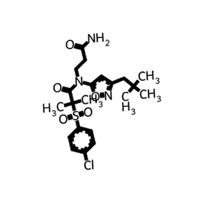 CC(C)(C)Cc1cc(N(CCC(N)=O)C(=O)C(C)(C)S(=O)(=O)c2ccc(Cl)cc2)on1